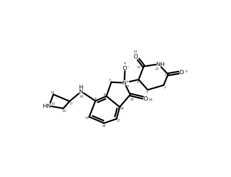 O=C1CCC([N+]2([O-])Cc3c(NC4CNC4)cccc3C2=O)C(=O)N1